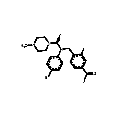 CN1CCN(C(=O)N(Cc2ccc(C(=O)O)cc2F)c2ccc(Br)cc2)CC1